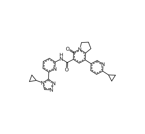 O=C(Nc1cccc(-c2nncn2C2CC2)n1)c1cc(-c2ccc(C3CC3)nc2)c2n(c1=O)CCC2